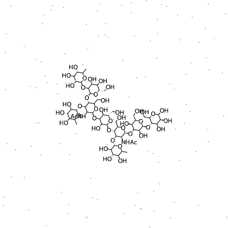 CC(=O)N[C@H]1C(O[C@@H]2OC(C)[C@@H](O)[C@H](O)C2O)[C@H](O[C@@H]2O[C@@H](CO)[C@H](O)C(O)C2O[C@@H]2OC(C)[C@@H](O)C(O)C2O)C(CO)O[C@H]1OC1C(O)[C@H](O[C@@H]2C(CO)O[C@@H](OC3[C@@H](O)C(CO)O[C@@H](O[C@@H]4C(CO)O[C@@H](O)[C@@H](O)C4O)[C@H]3O)[C@@H](NC(C)=O)C2O[C@@H]2OC(C)[C@@H](O)[C@H](O)C2O)O[C@@H](CO)[C@@H]1O